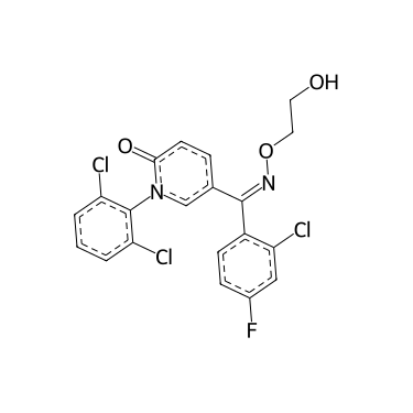 O=c1ccc(/C(=N\OCCO)c2ccc(F)cc2Cl)cn1-c1c(Cl)cccc1Cl